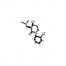 CN(C)/C=C1\C(=O)CCN(c2ccccc2Cl)C1=O